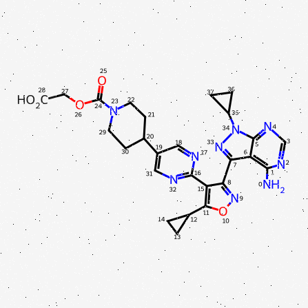 Nc1ncnc2c1c(-c1noc(C3CC3)c1-c1ncc(C3CCN(C(=O)OCC(=O)O)CC3)cn1)nn2C1CC1